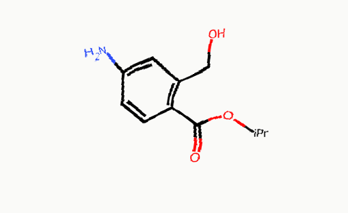 CC(C)OC(=O)c1ccc(N)cc1CO